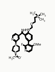 COc1ccnc(F)c1-c1ccc(NCOCCS(C)(C)C)c(C(=N)c2ccnc(N3CCN([S+](C)[O-])CC3)c2)c1